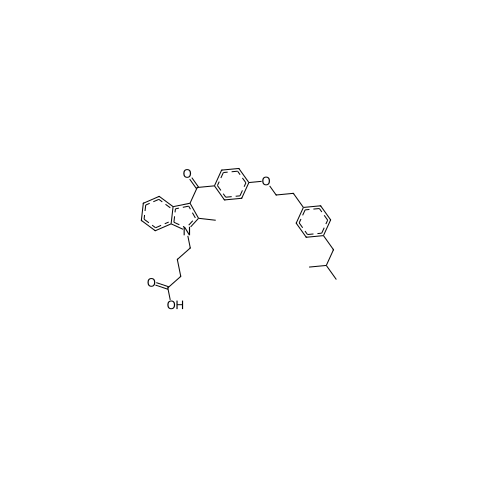 Cc1c(C(=O)c2ccc(OCCc3ccc(CC(C)C)cc3)cc2)c2ccccc2n1CCCC(=O)O